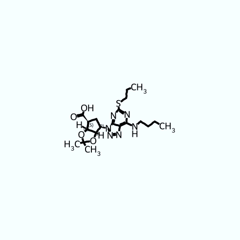 CCCCNc1nc(SCCC)nc2c1nnn2[C@@H]1C[C@H](C(=O)O)[C@H]2OC(C)(C)O[C@H]21